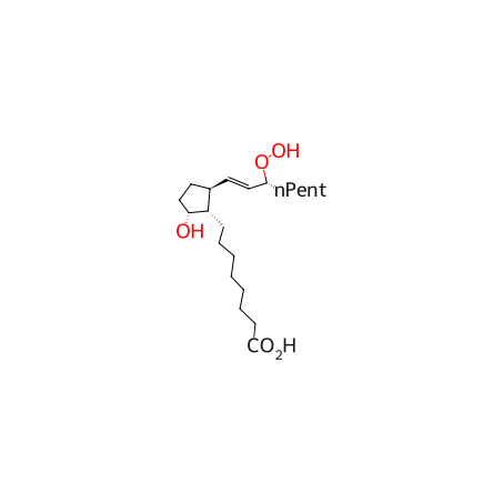 CCCCC[C@H](C=C[C@@H]1CC[C@@H](O)[C@H]1CCCCCCCC(=O)O)OO